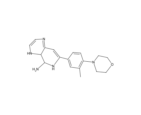 Cc1cc(C2=CC3=NC=CNC3C(N)N2)ccc1N1CCOCC1